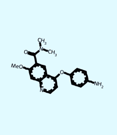 COc1cc2nccc(Oc3ccc(N)cc3)c2cc1C(=O)N(C)C